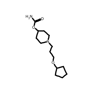 NC(=O)OC1CCN(CCCOC2CCCC2)CC1